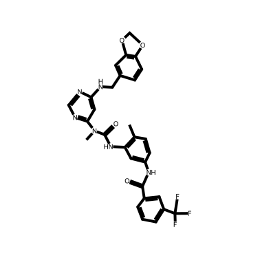 Cc1ccc(NC(=O)c2cccc(C(F)(F)F)c2)cc1NC(=O)N(C)c1cc(NCc2ccc3c(c2)OCO3)ncn1